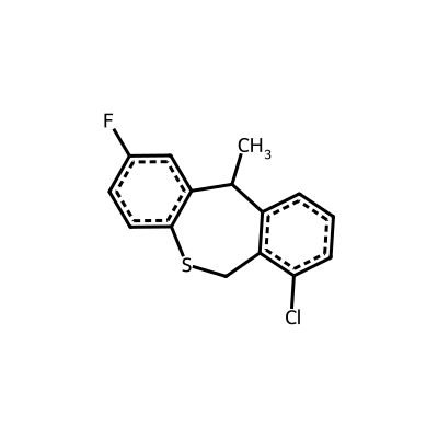 CC1c2cc(F)ccc2SCc2c(Cl)cccc21